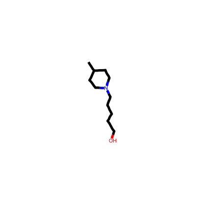 CC1CCN(CCCCCO)CC1